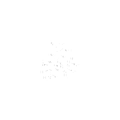 CN(C)C(=N)NC(=N)N.CN(C)c1ccc(O)c2c1C[C@H]1C[C@H]3[C@H](N(C)C)C(O)=C(C(N)=O)C(=O)[C@@]3(O)C(O)=C1C2=O